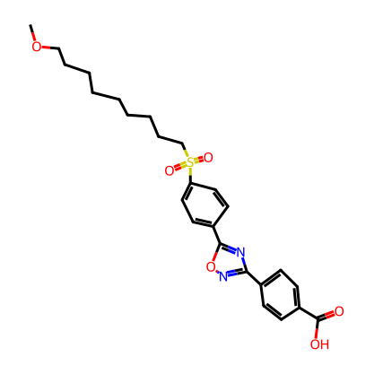 COCCCCCCCCCS(=O)(=O)c1ccc(-c2nc(-c3ccc(C(=O)O)cc3)no2)cc1